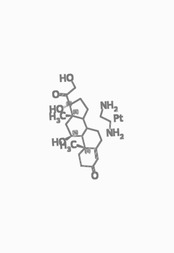 C[C@]12CCC(=O)C=C1CCC1C2[C@@H](O)C[C@@]2(C)C1CC[C@]2(O)C(=O)CO.NCCN.[Pt]